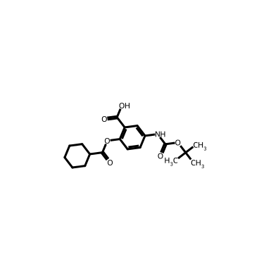 CC(C)(C)OC(=O)Nc1ccc(OC(=O)C2CCCCC2)c(C(=O)O)c1